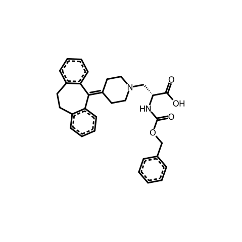 O=C(N[C@H](CN1CCC(=C2c3ccccc3CCc3ccccc32)CC1)C(=O)O)OCc1ccccc1